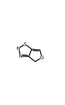 C1=C2S[N]N=C2CO1